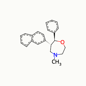 CN1CCO[C@H](c2ccccc2)[C@@H](c2ccc3ccccc3c2)C1